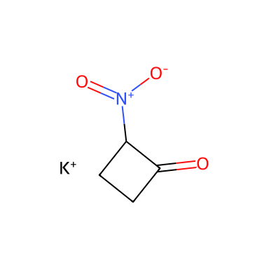 O=C1CCC1[N+](=O)[O-].[K+]